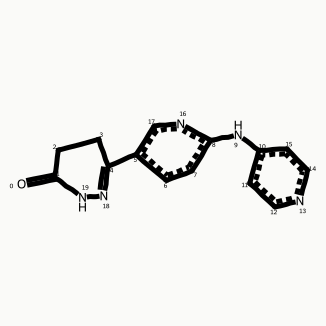 O=C1CCC(c2ccc(Nc3ccncc3)nc2)=NN1